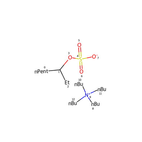 CCCCCC(CC)OS(=O)(=O)[O-].CCCC[N+](CCCC)(CCCC)CCCC